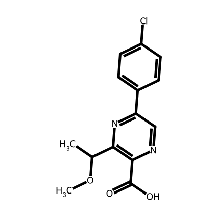 COC(C)c1nc(-c2ccc(Cl)cc2)cnc1C(=O)O